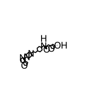 O=C(CC1C[C@H](O)CO1)NC1CCC(CCN2CCN(c3nccc4c3CCO4)CC2)CC1